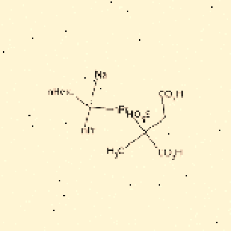 CC(CC(=O)O)(C(=O)O)S(=O)(=O)O.CCCCCC[C]([Na])(CCC)CCC